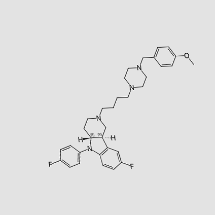 COc1ccc(CN2CCN(CCCCN3CC[C@@H]4[C@@H](C3)c3cc(F)ccc3N4c3ccc(F)cc3)CC2)cc1